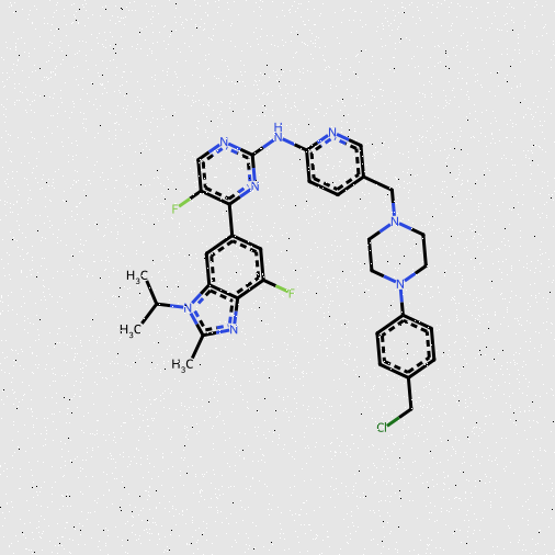 Cc1nc2c(F)cc(-c3nc(Nc4ccc(CN5CCN(c6ccc(CCl)cc6)CC5)cn4)ncc3F)cc2n1C(C)C